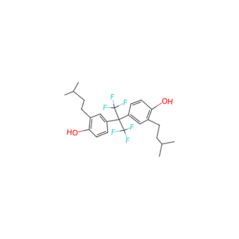 CC(C)CCc1cc(C(c2ccc(O)c(CCC(C)C)c2)(C(F)(F)F)C(F)(F)F)ccc1O